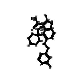 Cc1nccc(COc2ccc3oc(C)c(C(N)=O)c3c2C2(CO)CCOCC2)n1